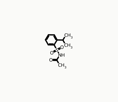 CC(=O)NS(=O)(=O)c1ccccc1C(C)C